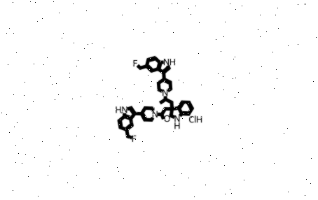 CC(CC1(CC(C)N2CC=C(c3c[nH]c4ccc(CF)cc34)CC2)C(=O)Nc2ccccc21)N1CC=C(c2c[nH]c3ccc(CF)cc23)CC1.Cl